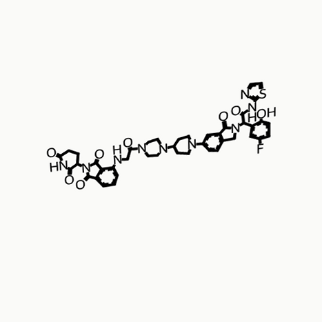 O=C1CCC(N2C(=O)c3cccc(NCC(=O)N4CCN(C5CCN(c6ccc7c(c6)C(=O)N(C(C(=O)Nc6nccs6)c6cc(F)ccc6O)C7)CC5)CC4)c3C2=O)C(=O)N1